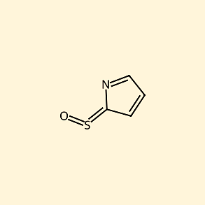 O=S=C1C=CC=N1